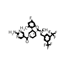 Cc1cc(F)ccc1[C@@H]1CN(C(=O)c2cnc(N)nc2)CC[C@H]1C(=O)N(C)Cc1cc(C(F)(F)F)cc(C(F)(F)F)c1